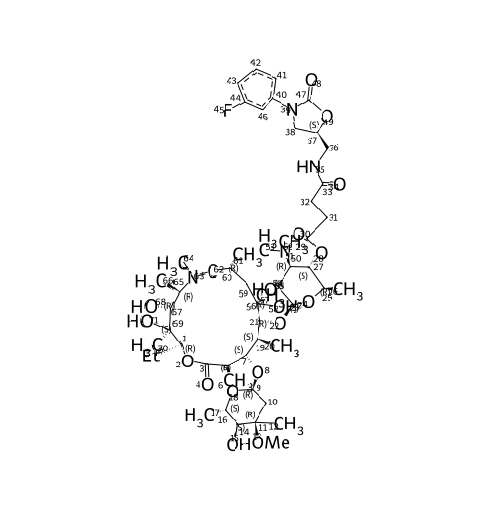 CC[C@H]1OC(=O)[C@H](C)[C@@H](O[C@H]2C[C@@](C)(OC)[C@@H](O)[C@H](C)O2)[C@H](C)[C@@H](O[C@@H]2O[C@H](C)[C@@H](OC(=O)CCC(=O)NC[C@H]3CN(c4cccc(F)c4)C(=O)O3)[C@H](N(C)C)[C@H]2O)[C@](C)(O)C[C@@H](C)CN(C)[C@H](C)[C@@H](O)[C@]1(C)O